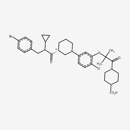 CC(C)(Oc1cc(N2CCC[C@@H](C(=O)N(Cc3ccc(Br)cc3)C3CC3)C2)ccc1Cl)C(=O)N1CCN(C(=O)O)CC1